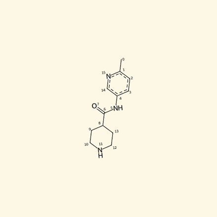 Cc1ccc(NC(=O)C2CCNCC2)cn1